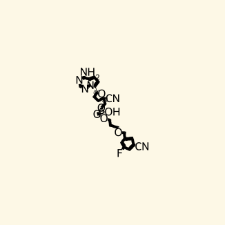 N#Cc1cc(F)cc(COCCCOP(=O)(O)OC[C@]2(C#N)CC[C@H](c3ccc4c(N)ncnn34)O2)c1